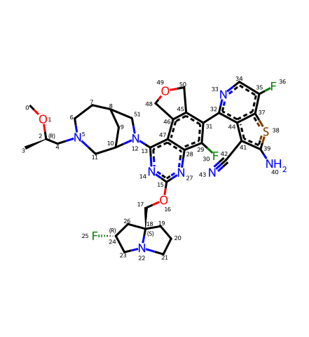 CO[C@H](C)CN1CCC2CC(C1)N(c1nc(OC[C@@]34CCCN3C[C@H](F)C4)nc3c(F)c(-c4ncc(F)c5sc(N)c(C#N)c45)c4c(c13)COC4)C2